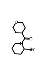 CC(C)C1CCCCN1C(=O)C1CCOCC1